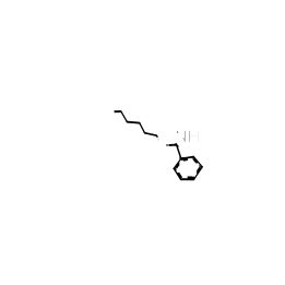 CCCCCCOC(=N)c1ccccc1